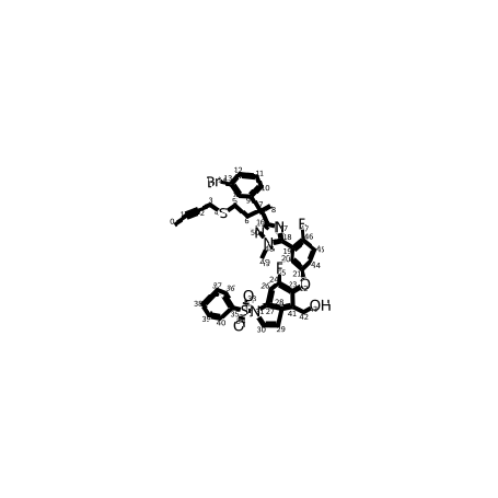 CC#CCSCCC(C)(c1cccc(Br)c1)c1nc(-c2cc(Oc3c(F)cc4c(ccn4S(=O)(=O)c4ccccc4)c3CO)ccc2F)n(C)n1